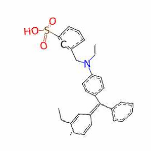 CCC1=CC(=C(c2ccccc2)c2ccc(N(CC)Cc3cccc(S(=O)(=O)O)c3)cc2)C=C[C]1